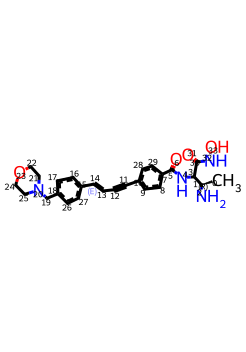 C[C@@H](N)C(NC(=O)c1ccc(C#C/C=C/c2ccc(CN3CCOCC3)cc2)cc1)C(=O)NO